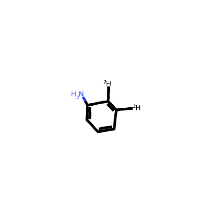 [2H]c1cccc(N)c1[2H]